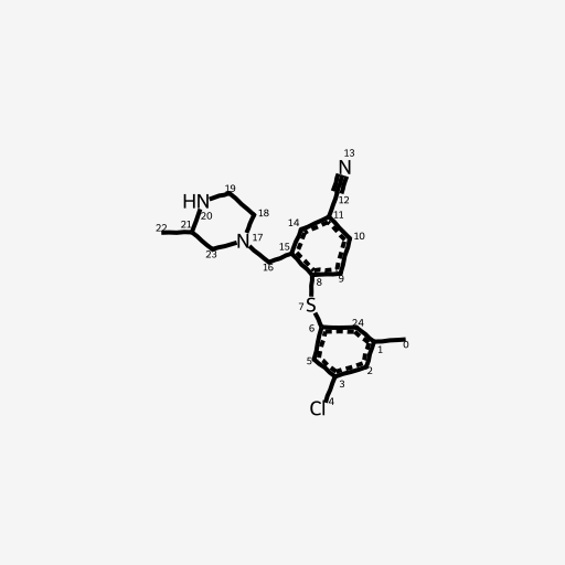 Cc1cc(Cl)cc(Sc2ccc(C#N)cc2CN2CCNC(C)C2)c1